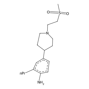 CCCc1cc(C2CCN(CCS(C)(=O)=O)CC2)ccc1N